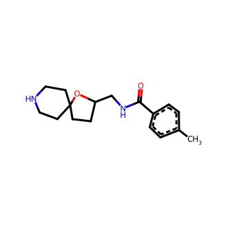 Cc1ccc(C(=O)NCC2CCC3(CCNCC3)O2)cc1